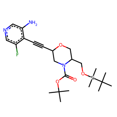 CC(C)(C)OC(=O)N1CC(C#Cc2c(N)cncc2F)OCC1CO[Si](C)(C)C(C)(C)C